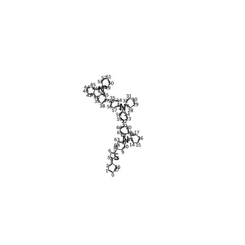 c1ccc(-c2ccc(-c3ccc(-n4c5ccccc5c5cc(-c6ccc(N(c7ccccc7)c7ccc(-c8ccc9c%10ccccc%10n(-c%10ccccc%10)c9c8)cc7)cc6)ccc54)cc3)s2)cc1